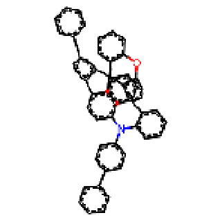 c1ccc(-c2ccc(N(c3ccc4c(c3)C3(c5ccccc5Oc5ccccc53)c3cc(-c5ccccc5)ccc3-4)c3ccccc3-c3ccccc3)cc2)cc1